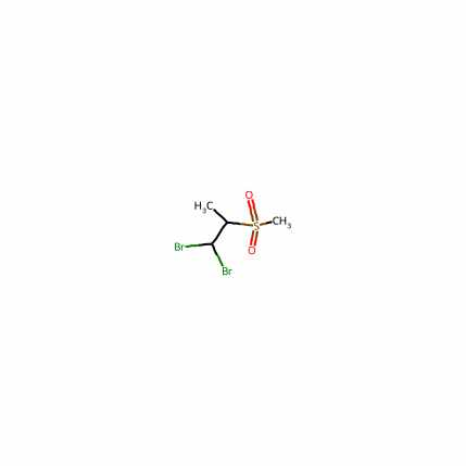 CC(C(Br)Br)S(C)(=O)=O